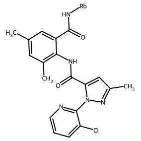 Cc1cc(C)c(NC(=O)c2cc(C)nn2-c2ncccc2Cl)c(C(=O)[NH][Rb])c1